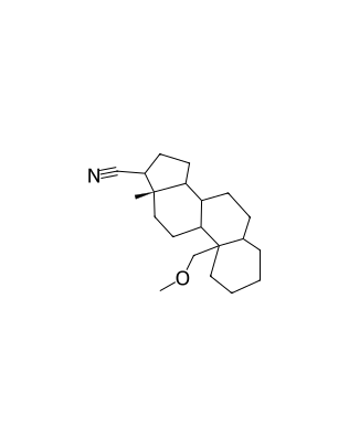 COCC12CCCCC1CCC1C2CC[C@]2(C)C(C#N)CCC12